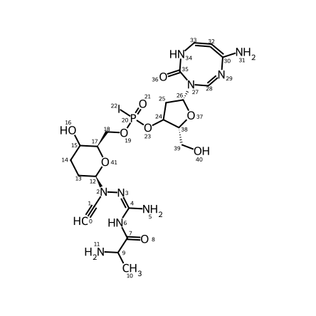 C#CN(/N=C(/N)NC(=O)C(C)N)[C@H]1CCC(O)[C@@H](COP(=O)(I)OC2C[C@H](N3/C=N\C(N)=C=CNC3=O)O[C@@H]2CO)O1